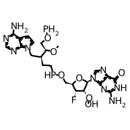 CO[C@H](COP)[C@@H](CCPOC[C@H]1O[C@@H](n2cnc3c(=O)[nH]c(N)nc32)[C@H](OO)[C@@H]1F)Cn1ccc2c(N)ncnc21